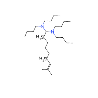 CCCCN(CCCC)C([SiH2]CCC[SiH2]C=C(C)C)N(CCCC)CCCC